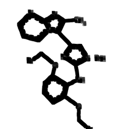 Br.Cc1nc2ncccn2c1-c1csc(Nc2c(OCBr)cccc2OCBr)n1